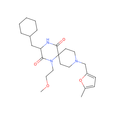 COCCN1C(=O)C(CC2CCCCC2)NC(=O)C12CCN(Cc1ccc(C)o1)CC2